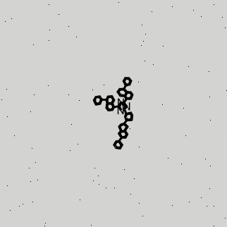 c1ccc(-c2ccc3cc(-c4cccc(-c5nc(-c6cccc7c(-c8ccccc8)cccc67)nc(-c6cccc7c(-c8ccccc8)cccc67)n5)c4)ccc3c2)cc1